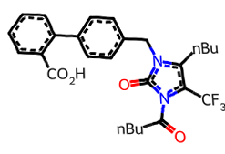 CCCCC(=O)n1c(C(F)(F)F)c(CCCC)n(Cc2ccc(-c3ccccc3C(=O)O)cc2)c1=O